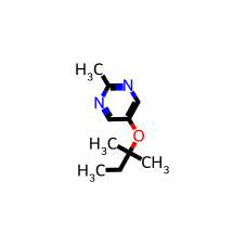 CCC(C)(C)Oc1cnc(C)nc1